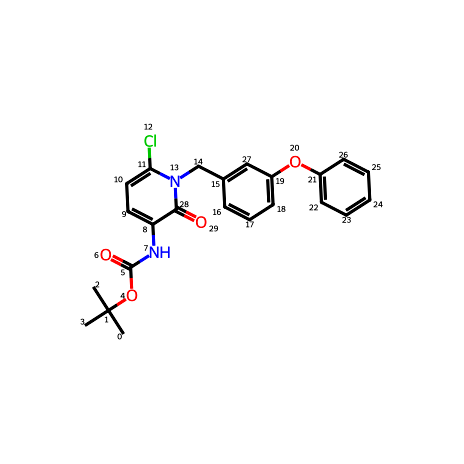 CC(C)(C)OC(=O)Nc1ccc(Cl)n(Cc2cccc(Oc3ccccc3)c2)c1=O